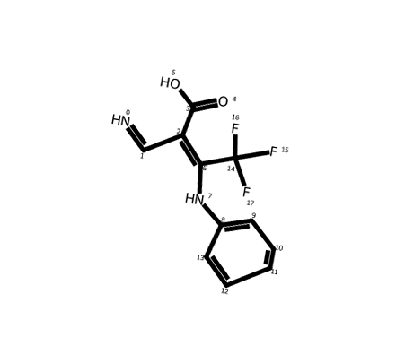 N=C/C(C(=O)O)=C(\Nc1ccccc1)C(F)(F)F